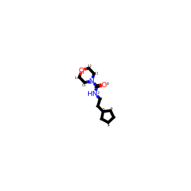 O=C(NCCC1CCCC1)N1CCOCC1